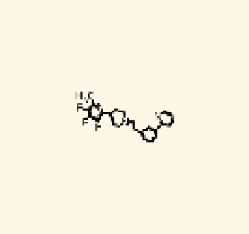 Cc1nc(C2=CCN(CCc3cccc(-c4ccccn4)c3)CC2)c(F)c(F)c1F